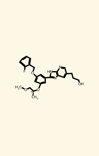 COC[C@H](C)Oc1cc(OCc2ccccc2F)cc(-c2nc3cc(CCCO)cnc3[nH]2)c1